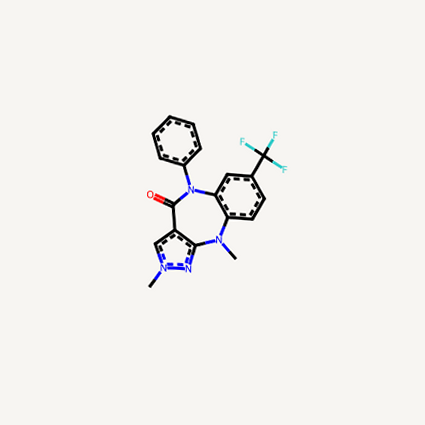 CN1c2ccc(C(F)(F)F)cc2N(c2ccccc2)C(=O)c2cn(C)nc21